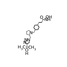 CC(C)(O)c1cn(CC2CCCN2Cc2ccc(C=CC(=O)NO)cc2)nn1